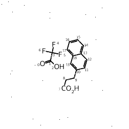 O=C(O)C(F)(F)F.O=C(O)CCc1ccc2ccccc2c1